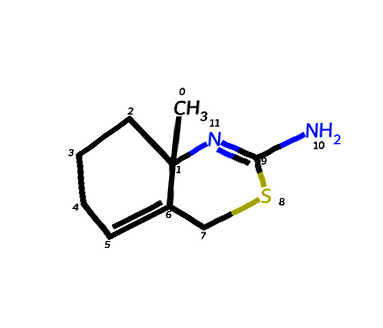 CC12CCCC=C1CSC(N)=N2